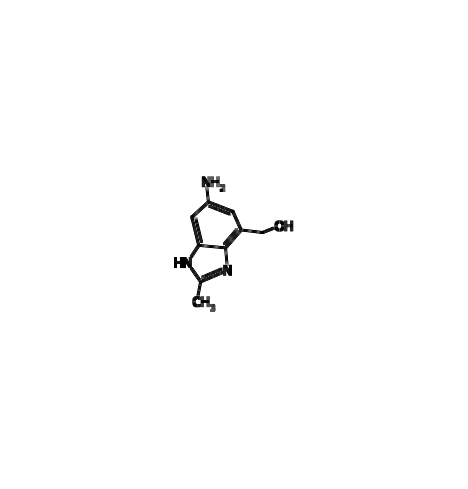 Cc1nc2c(CO)cc(N)cc2[nH]1